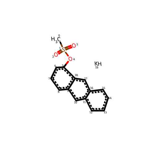 CS(=O)(=O)Oc1cccc2cc3ccccc3cc12.[KH]